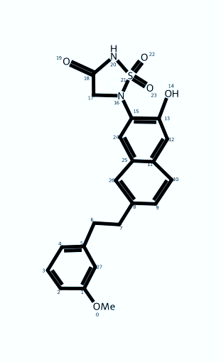 COc1cccc(CCc2ccc3cc(O)c(N4CC(=O)NS4(=O)=O)cc3c2)c1